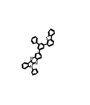 c1ccc(-c2cc(-c3ccc4nc5c(nc4c3)c3ccccc3n5-c3ccccc3)cc(-c3cccc4c3sc3ccccc34)c2)cc1